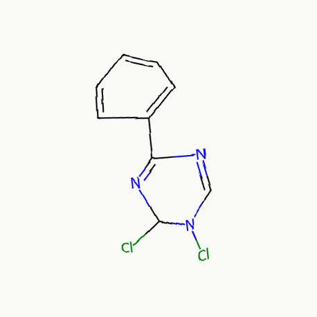 ClC1N=C(c2ccccc2)N=CN1Cl